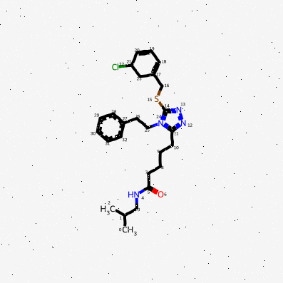 CC(C)CNC(=O)CCCCc1nnc(SCC2=CC=CC(Cl)C2)n1CCc1ccccc1